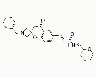 O=C(/C=C/c1ccc2c(c1)C(=O)CC1(CN(Cc3ccccc3)C1)O2)NOC1CCCCO1